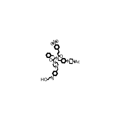 CC(=O)N1CCN(c2ccc(CN(C(=O)C=Cc3ccc(S(C)(=O)=O)cc3)[C@@H](Cc3ccccc3)C(=O)N3CCN(Cc4ccc(N(C)CCO)cc4)CC3)cc2)CC1